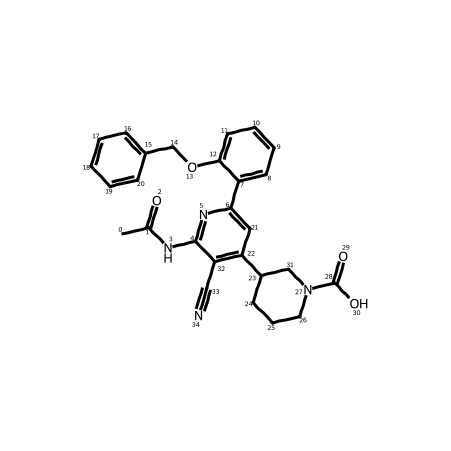 CC(=O)Nc1nc(-c2ccccc2OCc2ccccc2)cc(C2CCCN(C(=O)O)C2)c1C#N